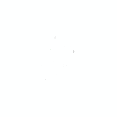 CCCC(=O)C(F)(C(F)(F)C(F)(F)C(F)(F)F)C(F)(C(F)(F)F)C(F)(F)F